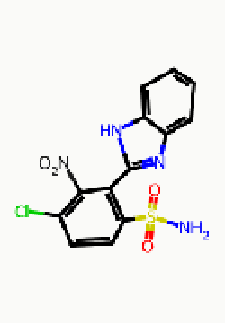 NS(=O)(=O)c1ccc(Cl)c([N+](=O)[O-])c1-c1nc2ccccc2[nH]1